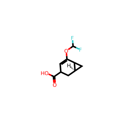 O=C(O)C1C=C(OC(F)F)C2C[C@H]2C1